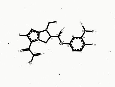 CCC1c2cc(C)c(C(=O)C(=O)O)n2CC1C(=O)Nc1ccc(F)c(C(F)F)c1